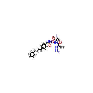 CC(C)C(N)C(=O)NC1(C(=O)ONC(=O)Cc2ccc(CCCCc3ccccc3)cc2)CC1I